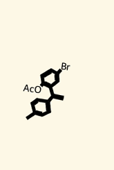 C=C(c1ccc(C)cc1)c1cc(Br)ccc1OC(C)=O